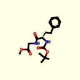 COC(=O)CNC(=O)[C@H](CCc1ccccc1)NC(=O)OC(C)(C)C